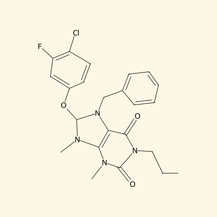 CCCn1c(=O)c2c(n(C)c1=O)N(C)C(Oc1ccc(Cl)c(F)c1)N2Cc1ccccc1